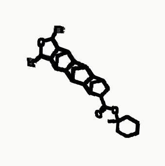 CCC1OC(CC)C2C3CC(C12)C1C2CC(C4C5CC(CC5C(=O)OC5(C)CCCCC5)C24)C31